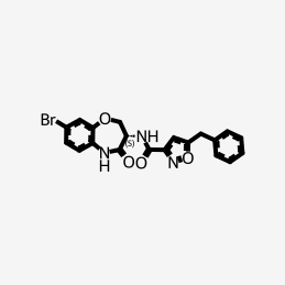 O=C(N[C@H]1COc2cc(Br)ccc2NC1=O)c1cc(Cc2ccccc2)on1